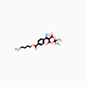 CCCCCOC(=O)c1ccc(C(N)=C2C(=O)OC(C)(C)OC2=O)cc1